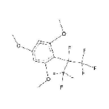 COc1cc(OC)c(C(F)(C(F)(F)F)C(F)(F)F)c(OC)c1